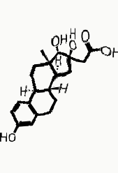 C[C@]12CC[C@@H]3c4ccc(O)cc4CC[C@H]3[C@@H]1C[C@@](O)(CC(=O)O)[C@@H]2O